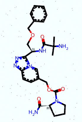 CC(C)(N)C(=O)N[C@H](COCc1ccccc1)c1nnc2ccc(COC(=O)N3CCC[C@@H]3C(N)=O)cn12